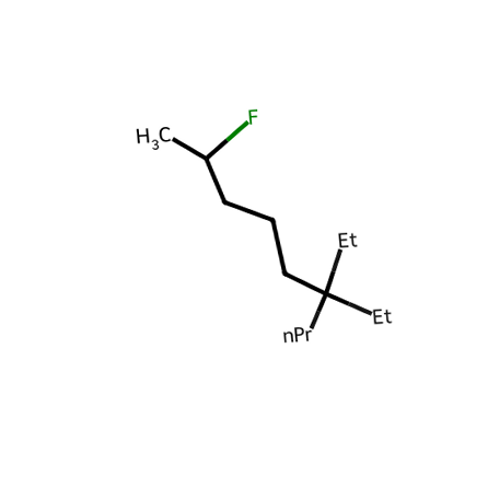 CCCC(CC)(CC)CCCC(C)F